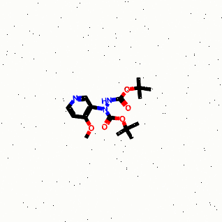 COc1ccncc1N(NC(=O)OC(C)(C)C)C(=O)OC(C)(C)C